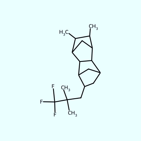 CC1C(C)C2CC1C1C3CC(CC(C)(C)C(F)(F)F)C(C3)C21